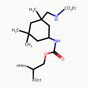 CCCCCCCCC(CCCCCC)COC(=O)NC1CC(C)(C)CC(C)(CNC(=O)OCC)C1